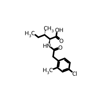 CC[C@H](C)[C@H](NC(=O)Cc1ccc(Cl)cc1C)C(=O)O